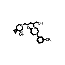 O=C1CCN(c2cccc(C(F)(F)F)c2)CCN1C(CO)CCCN1CCC2(CC2)[C@H](O)C1